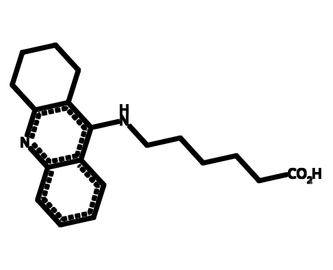 O=C(O)CCCCCNc1c2c(nc3ccccc13)CCCC2